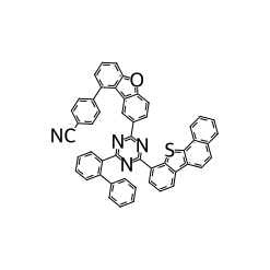 N#Cc1ccc(-c2cccc3oc4ccc(-c5nc(-c6ccccc6-c6ccccc6)nc(-c6cccc7c6sc6c8ccccc8ccc76)n5)cc4c23)cc1